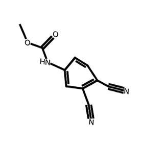 COC(=O)Nc1ccc(C#N)c(C#N)c1